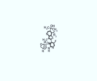 Cc1c(-c2nc(N[C@@H]3C[C@H]4CO[C@H](O4)[C@H]3O)ncc2F)sc2c(C)c(C(C)(C)O)cnc12